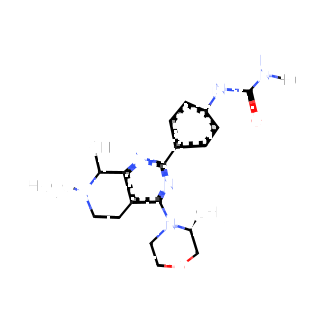 CCNC(=O)Nc1ccc(-c2nc3c(c(N4CCOC[C@@H]4C)n2)CCN(C(=O)O)C3C)cc1